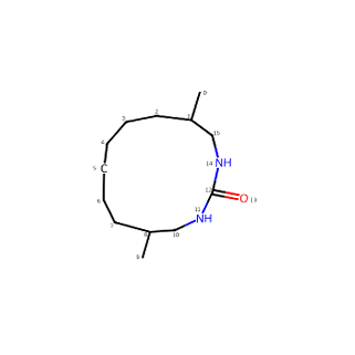 CC1CCCCCCC(C)CNC(=O)NC1